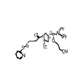 CC[C@@H]1C[C@@H](OP(OCCC#N)N(C(C)C)C(C)C)CN1C(=O)CCSSc1ccccn1